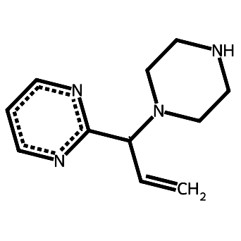 C=C[C](c1ncccn1)N1CCNCC1